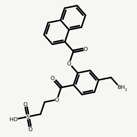 BCc1ccc(C(=O)OCCS(=O)(=O)O)c(OC(=O)c2cccc3ccccc23)c1